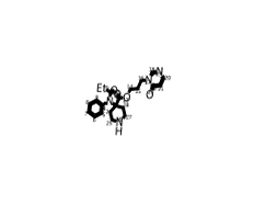 CCC(=O)N(c1ccccc1)C1(C(=O)OCCCn2cnccc2=O)CCNCC1